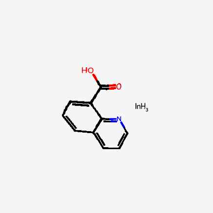 O=C(O)c1cccc2cccnc12.[InH3]